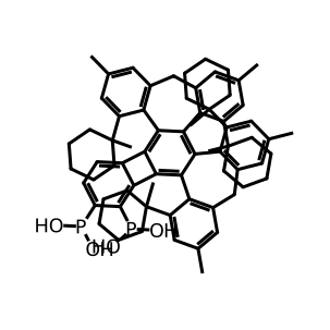 Cc1cc2c(c(C3(C)CCCCC3)c1)-c1c3c(c4c(c1-c1c(cc(C)cc1C1(C)CCCCC1)C2)-c1c(cc(C)cc1C1(C)CCCCC1)Cc1cc(C)cc(C2(C)CCCCC2)c1-4)-c1c-3ccc(P(O)O)c1P(O)O